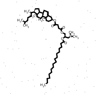 CCCCCCCCCCCCCCCCCC(=O)OC(COC(=O)CCC(=O)O[C@H]1CC[C@@]2(C)C(=CCC3C2CC[C@@]2(C)C3CC[C@@H]2[C@H](C)CCCC(C)C)C1)CN(C)C